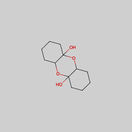 OC12CCCCC1OC1(O)CCCCC1O2